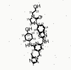 Cc1nccn1Cc1cc(Nc2nc3ccc(N4CCN(CCO)C4=O)cc3s2)nc(N[C@H]2CC[C@H](O)CC2)c1